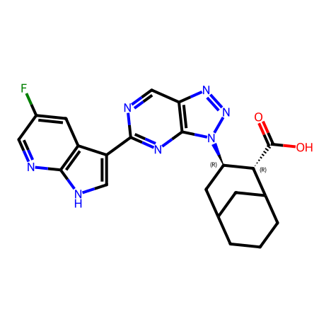 O=C(O)[C@@H]1C2CCCC(C2)C[C@H]1n1nnc2cnc(-c3c[nH]c4ncc(F)cc34)nc21